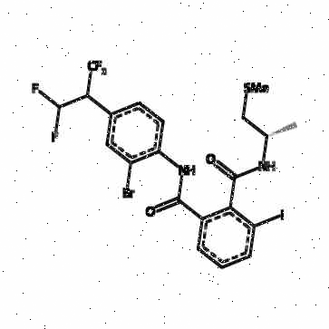 CSC[C@H](C)NC(=O)c1c(I)cccc1C(=O)Nc1ccc(C(C(F)F)C(F)(F)F)cc1Br